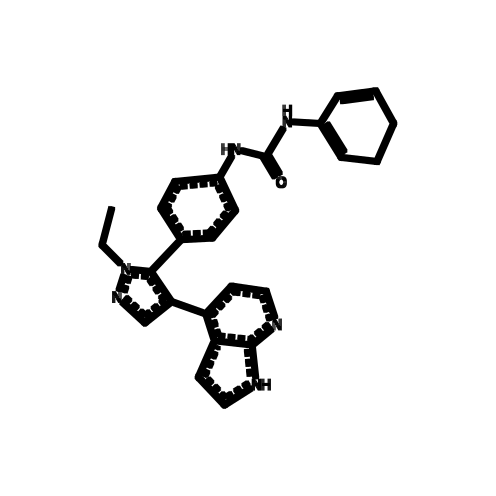 CCn1ncc(-c2ccnc3[nH]ccc23)c1-c1ccc(NC(=O)NC2=CCCC=C2)cc1